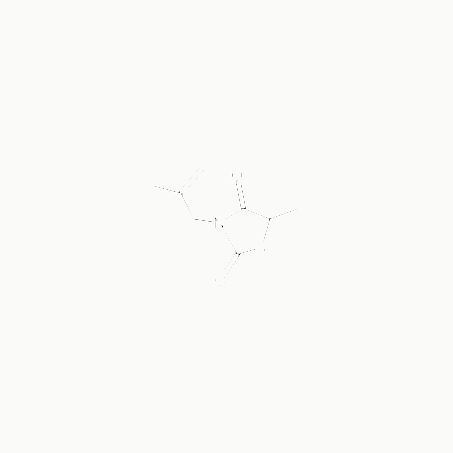 C=C(C)CN1C(=O)SC(C)C1=O